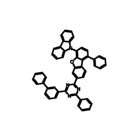 c1ccc(-c2cccc(-c3nc(-c4ccccc4)nc(-c4ccc5c(c4)oc4c(-n6c7ccccc7c7ccccc76)ccc(-c6ccccc6)c45)n3)c2)cc1